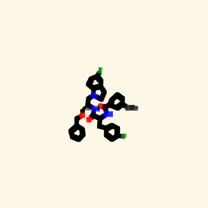 COc1cccc(C(=O)NC(Cc2ccc(F)cc2)C(=O)N[C@H](COCc2ccccc2)CN2CCc3cc(F)ccc32)c1